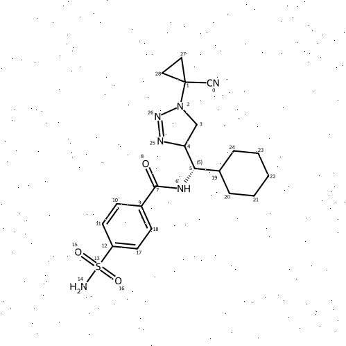 N#CC1(N2CC([C@@H](NC(=O)c3ccc(S(N)(=O)=O)cc3)C3CCCCC3)N=N2)CC1